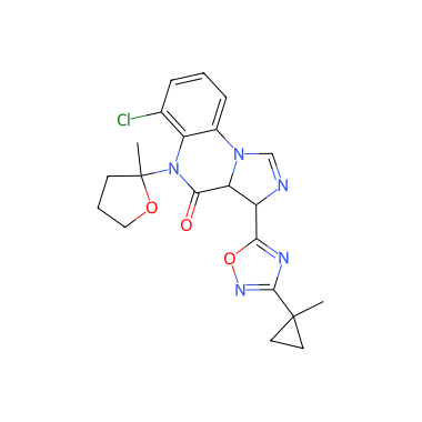 CC1(c2noc(C3N=CN4c5cccc(Cl)c5N(C5(C)CCCO5)C(=O)C34)n2)CC1